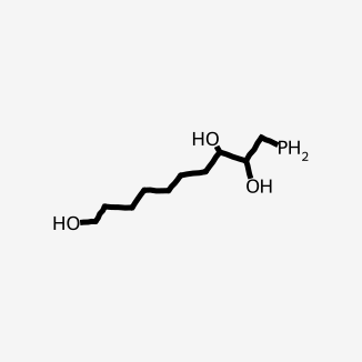 OCCCCCCCC(O)C(O)CP